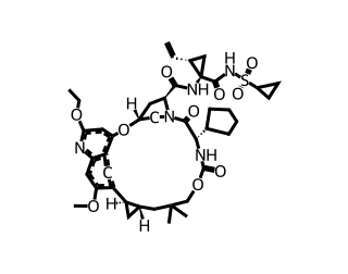 C=C[C@@H]1C[C@]1(NC(=O)[C@@H]1C[C@@H]2CN1C(=O)[C@H](C1CCCC1)NC(=O)OCC(C)(C)C[C@@H]1C[C@H]1c1cc3c(cc(OCC)nc3cc1OC)O2)C(=O)NS(=O)(=O)C1CC1